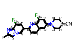 Cc1cn2cc(-c3ccc4cc(N5CCB(C#N)CC5)cc(F)c4n3)cc(F)c2n1